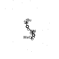 COC(=O)c1cc(S(=O)(=O)NCCOc2ccc(-c3csc(C(C)(C)C)n3)cc2)ccc1C